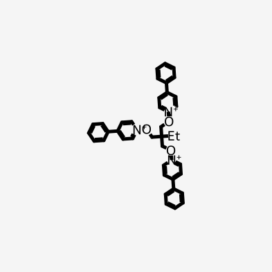 CCC(CO[n+]1ccc(-c2ccccc2)cc1)(CO[n+]1ccc(-c2ccccc2)cc1)CO[n+]1ccc(-c2ccccc2)cc1